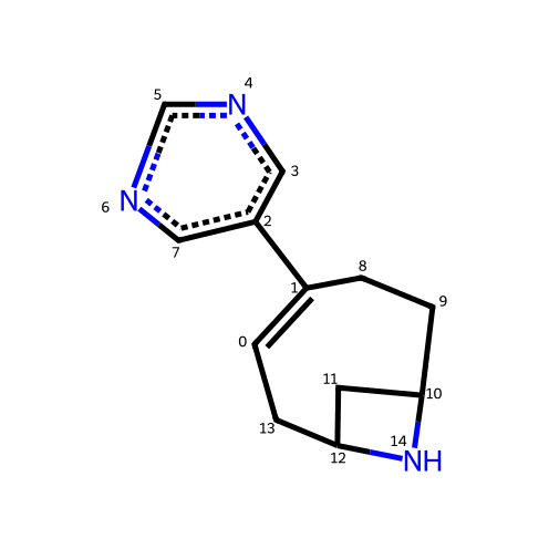 C1=C(/c2cncnc2)CCC2CC(C/1)N2